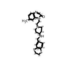 Cc1ccc2ncc(=O)n(CCN3CCC(NCc4ccc5c(c4)SCCS5)CC3)c2c1